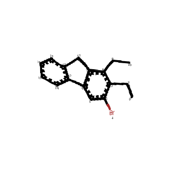 CCc1c(Br)cc2c(c1CC)[CH]c1ccccc1-2